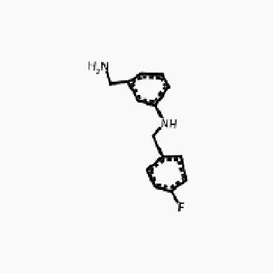 NCc1cccc(NCc2ccc(F)cc2)c1